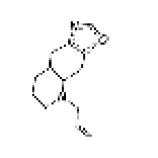 C=CCN1CCCC2Cc3ncoc3CC21